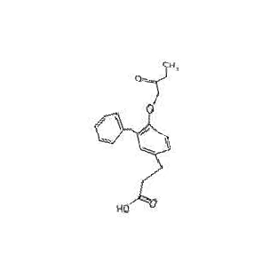 CCC(=O)COc1ccc(CCC(=O)O)cc1-c1ccccc1